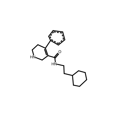 O=C(NCCC1CCCCC1)C1=C(c2ccccc2)CCNC1